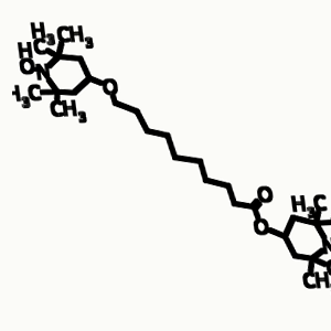 CC1(C)CC(OCCCCCCCCCC(=O)OC2CC(C)(C)N(O)C(C)(C)C2)CC(C)(C)N1O